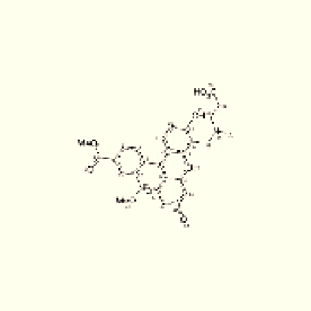 COC(=O)c1ccc(-c2c3ccc(=O)cc-3oc3c(CN(C)CCC(=O)O)c(O)ccc23)c(C(=O)OC)c1